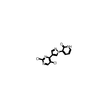 O=c1[nH]cccc1-n1cc(-c2nc(Cl)ncc2Cl)cn1